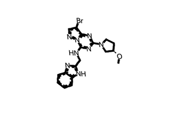 CO[C@H]1CCN(c2nc(NCc3nc4ccccc4[nH]3)n3ncc(Br)c3n2)C1